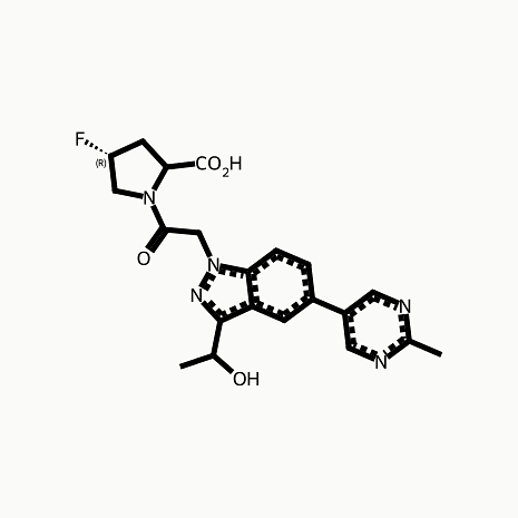 Cc1ncc(-c2ccc3c(c2)c(C(C)O)nn3CC(=O)N2C[C@H](F)CC2C(=O)O)cn1